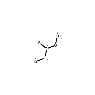 COP(F)OS